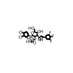 O=P(O)(O)OC1C(Sc2ccc(Cl)c(Cl)c2)OC(CO)C(O)C1n1cc(-c2cc(F)c(F)c(F)c2)nn1